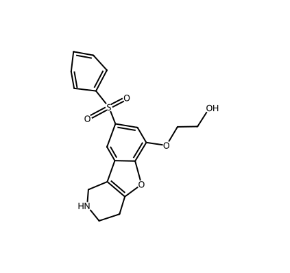 O=S(=O)(c1ccccc1)c1cc(OCCO)c2oc3c(c2c1)CNCC3